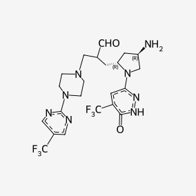 N[C@@H]1C[C@@H](CC(C=O)CN2CCN(c3ncc(C(F)(F)F)cn3)CC2)N(c2cc(C(F)(F)F)c(=O)[nH]n2)C1